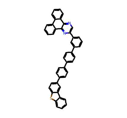 c1cc(-c2ccc(-c3ccc(-c4ccc5sc6ccccc6c5c4)cc3)cc2)cc(-c2cnc3c4ccccc4c4ccccc4c3n2)c1